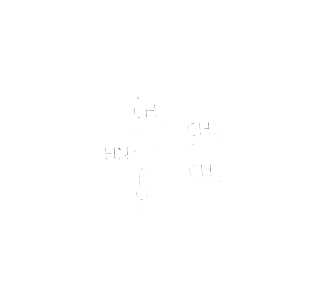 CC(C)C1C(=O)NC1C